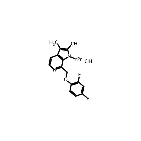 CCCn1c(C)c(C)c2ccnc(COc3ccc(F)cc3F)c21.Cl